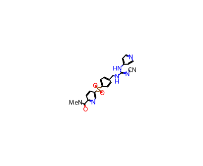 CNC(=O)c1ccc(S(=O)(=O)c2ccc(CNC(=NC#N)Nc3ccncc3)cc2)cn1